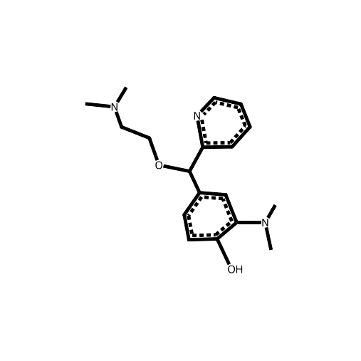 CN(C)CCOC(c1ccc(O)c(N(C)C)c1)c1ccccn1